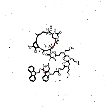 COCCN(CCC(=O)N(C)[C@@H](C)C(=O)OC12CC(=O)N(C)c3cc(cc(OC)c3Cl)C/C(C)=C/C=C/[C@@H](O)[C@@]3(O)C[C@H](OC(=O)N3)[C@@H](C)C(C1)[C@@]2(C)O)C(=O)CN(CCOC)C(=O)CN(CCOC)C(=O)CNC(=O)CCn1c(CN(C)N(C)C(=O)OCC2c3ccccc3-c3ccccc32)cc2ccccc21